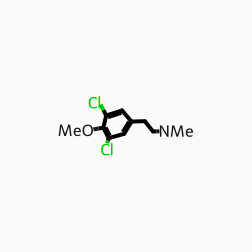 CNCCc1cc(Cl)c(OC)c(Cl)c1